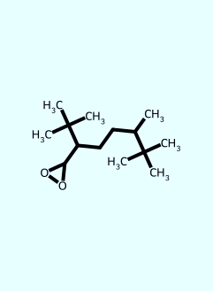 CC(CCC(C1OO1)C(C)(C)C)C(C)(C)C